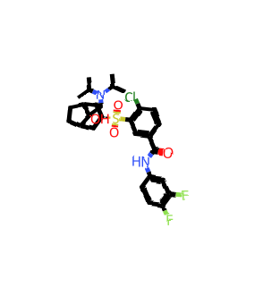 CC(C)N(C[C@]1(O)C2CCC1C[C@@H](S(=O)(=O)c1cc(C(=O)Nc3ccc(F)c(F)c3)ccc1Cl)C2)C(C)C